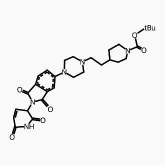 CC(C)(C)OC(=O)N1CCC(CCN2CCN(c3ccc4c(c3)C(=O)N(C3C=CC(=O)NC3=O)C4=O)CC2)CC1